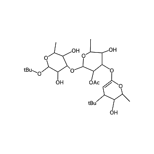 CC(=O)OC1C(OC2C(O)C(C)OC(OC(C)(C)C)C2O)OC(C)C(O)C1OC1=CC(C(C)(C)C)C(O)C(C)O1